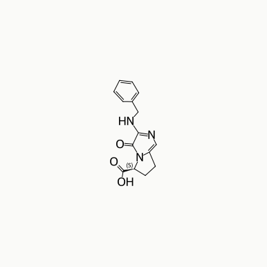 O=C(O)[C@@H]1CCc2cnc(NCc3ccccc3)c(=O)n21